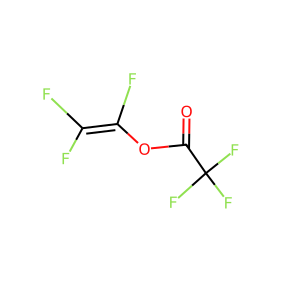 O=C(OC(F)=C(F)F)C(F)(F)F